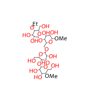 CCOC1C(CO)OC(OC2C(COC3OC(CO)C(OC4OC(CO)C(OC)C(O)C4O)C(O)C3O)OC(OC)C(O)C2O)C(O)C1O